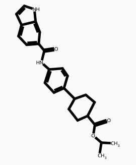 CC(C)OC(=O)C1CCC(c2ccc(NC(=O)c3ccc4cc[nH]c4c3)cc2)CC1